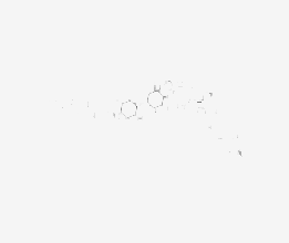 CCCCCCCCOc1ccc(-c2ccc(C3(O)CCC(C(=O)OCCCCCCC)CC3)cc2)cc1